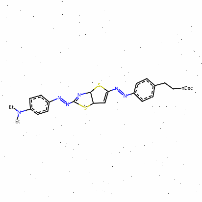 CCCCCCCCCCCCc1ccc(N=NC2=CC3SC(N=Nc4ccc(N(CC)CC)cc4)=NC3S2)cc1